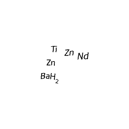 [BaH2].[Nd].[Ti].[Zn].[Zn]